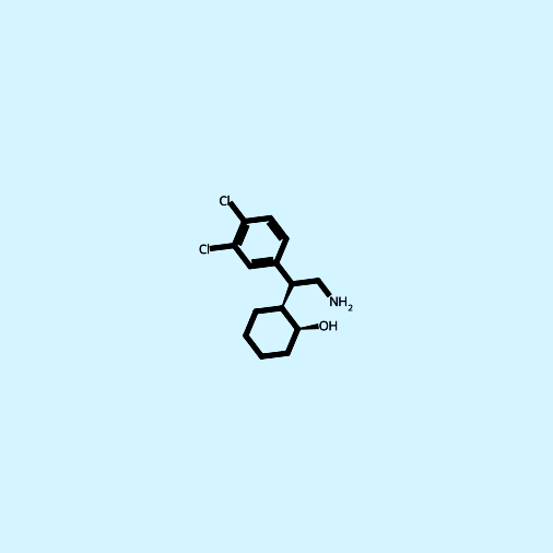 NCC(c1ccc(Cl)c(Cl)c1)[C@@H]1CCCC[C@@H]1O